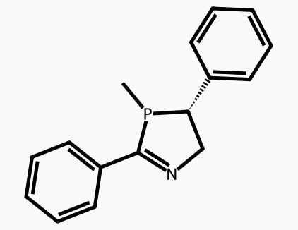 CP1C(c2ccccc2)=NC[C@H]1c1ccccc1